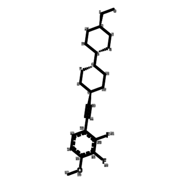 CC[C@H]1CC[C@H]([C@H]2CC[C@H](C#Cc3ccc(OC)c(F)c3F)CC2)CC1